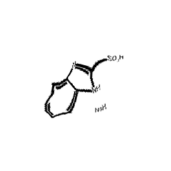 O=S(=O)(O)c1nc2ccccc2[nH]1.[NaH]